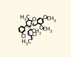 C=C(/C=C\C(Cl)=C/C)[C@@H]1[C@@H](c2cccc(Cl)c2)CC(C)C(=O)N1Cc1ccc(OC)cc1OC